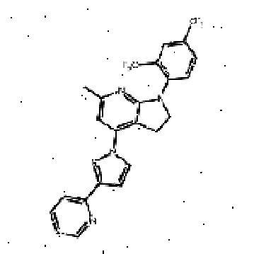 Cc1cc(-n2ccc(-c3ccccn3)n2)c2c(n1)N(c1ccc(C(F)(F)F)cc1C(F)(F)F)CC2